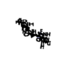 CC(/C(=C\CC1CC1C(=O)Nc1cc2[nH]c(=O)c(-c3cncc(F)c3C)cc2cn1)c1cc2cnc(Cl)cc2[nH]c1=O)=C(\F)C=N